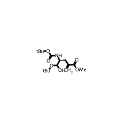 C=C(C[C@H](NC(=O)OC(C)(C)C)C(O)OC(C)(C)C)C(=O)OC